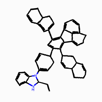 CCC1Nc2ccccc2N1C1=CCC(c2cc(C3=CCC4CCC=CC4=C3)c3c(c2C2C=CC4CCC=CC4C2)C2=CCCc4cccc-3c42)C=C1